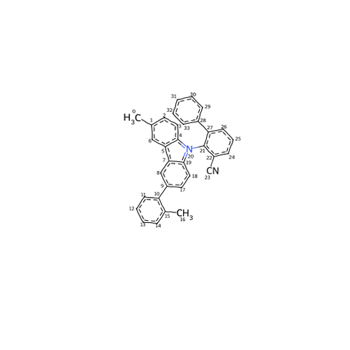 Cc1ccc2c(c1)c1cc(-c3ccccc3C)ccc1n2-c1c(C#N)cccc1-c1ccccc1